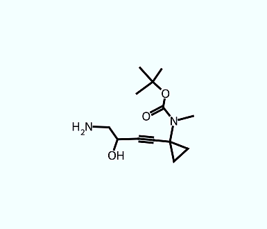 CN(C(=O)OC(C)(C)C)C1(C#CC(O)CN)CC1